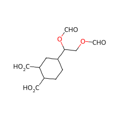 O=COCC(OC=O)C1CCC(C(=O)O)C(C(=O)O)C1